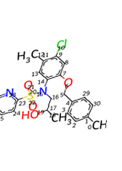 Cc1ccc(COc2cc(Cl)c(C)cc2N(CC(C)O)S(=O)(=O)c2ccccn2)cc1